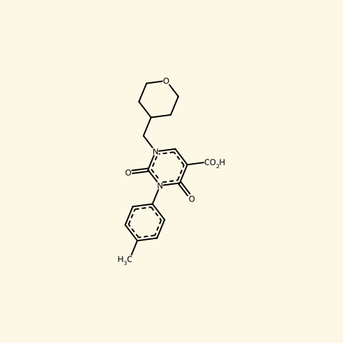 Cc1ccc(-n2c(=O)c(C(=O)O)cn(CC3CCOCC3)c2=O)cc1